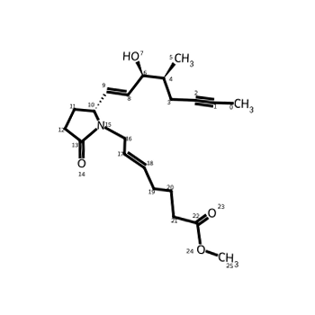 CC#CC[C@H](C)[C@H](O)/C=C/[C@H]1CCC(=O)N1C/C=C/CCCC(=O)OC